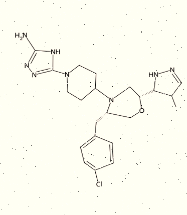 CC1C=NNC1[C@H]1CN(C2CCN(c3nnc(N)[nH]3)CC2)[C@@H](Cc2ccc(Cl)cc2)CO1